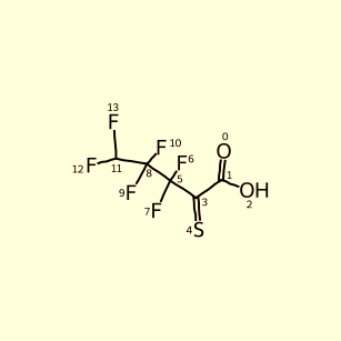 O=C(O)C(=S)C(F)(F)C(F)(F)C(F)F